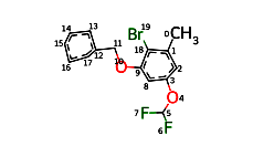 Cc1cc(OC(F)F)cc(OCc2ccccc2)c1Br